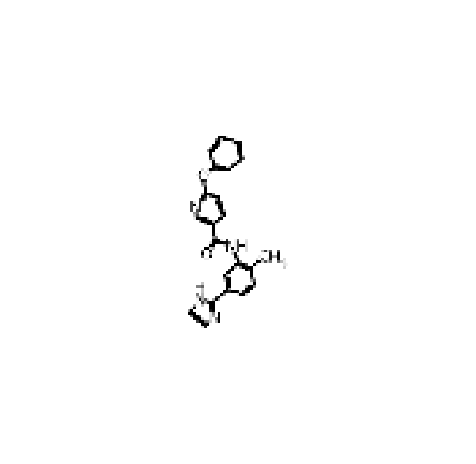 Cc1ccc(-c2ncc[nH]2)cc1NC(=O)c1ccc(Oc2ccccc2)nc1